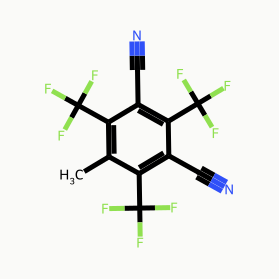 Cc1c(C(F)(F)F)c(C#N)c(C(F)(F)F)c(C#N)c1C(F)(F)F